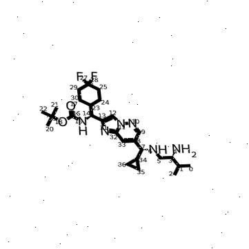 CC(C)[C@@H](N)CN[C@@H](c1cnn2cc([C@@H](NC(=O)OC(C)(C)C)C3CCC(F)(F)CC3)nc2c1)C1CC1